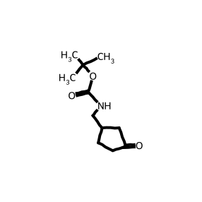 CC(C)(C)OC(=O)NCC1CCC(=O)C1